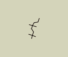 CCCC(C)(C)[CH]CC(C)(C)C